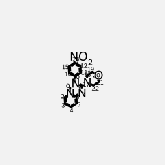 Cn1ccccc1=NC(=Nc1ccc([N+](=O)[O-])cc1)N1CCOCC1